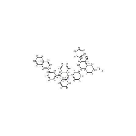 CC1CCC2=C(C3=CC(/C(=C4/CC=CCC4)C4C=CC=CC4C(C)c4cccc(-c5ccc6c(c5)C=CCC6)c4)=CCC3)CC3C4=C(C=CCC4)OC3=C2C1